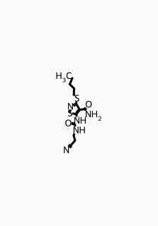 CCCCCSc1nsc(NC(=O)NCCC#N)c1C(N)=O